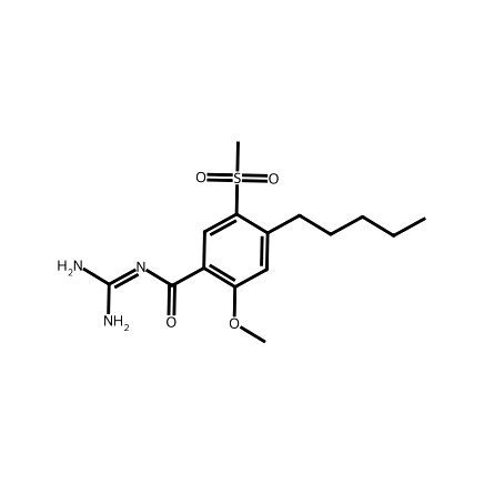 CCCCCc1cc(OC)c(C(=O)N=C(N)N)cc1S(C)(=O)=O